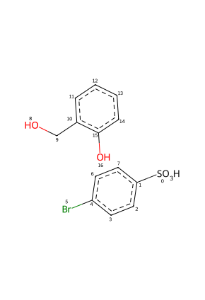 O=S(=O)(O)c1ccc(Br)cc1.OCc1ccccc1O